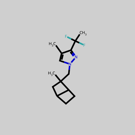 Cc1cn(CC2(C)CC3CCC32)nc1C(C)(F)F